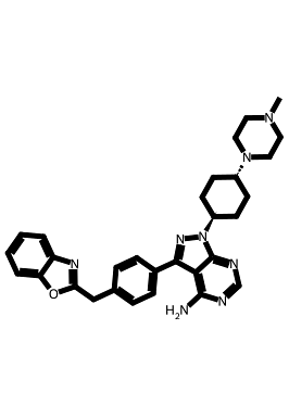 CN1CCN([C@H]2CC[C@H](n3nc(-c4ccc(Cc5nc6ccccc6o5)cc4)c4c(N)ncnc43)CC2)CC1